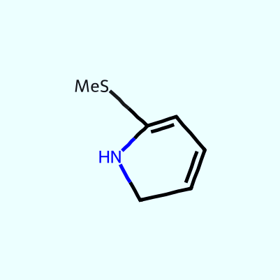 CSC1=CC=CCN1